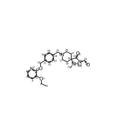 CCOc1cccnc1OCc1ccc(CN2CCC(NC)(C(=O)NC=O)CC2)cc1